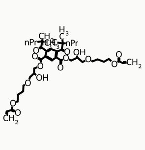 C=CC(=O)OCCCCOCC(O)COC(=O)c1cc(C(=O)OCC(O)COCCCCOC(=O)C=C)c(C(=O)C(C)(C)CCC)cc1C(=O)C(C)(C)CCC